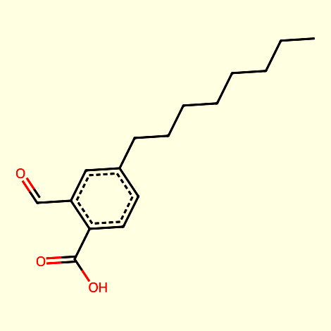 CCCCCCCCc1ccc(C(=O)O)c(C=O)c1